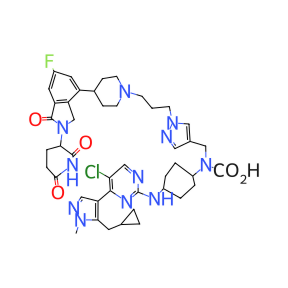 Cn1ncc(-c2nc(NC3CCC(N(Cc4cnn(CCCN5CCC(c6cc(F)cc7c6CN(C6CCC(=O)NC6=O)C7=O)CC5)c4)C(=O)O)CC3)ncc2Cl)c1CC1CC1